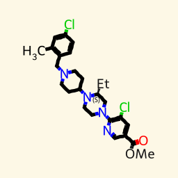 CC[C@H]1CN(c2ncc(C(=O)OC)cc2Cl)CCN1C1CCN(Cc2ccc(Cl)cc2C)CC1